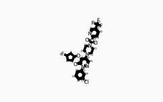 O=c1c(OC2CCC(F)C2)c(N2CCN(S(=O)(=O)c3ccc(C(F)(F)F)cn3)CC2)cnn1-c1cccc(Cl)c1